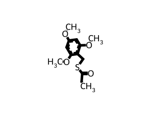 CCC(=O)SCc1c(OC)cc(OC)cc1OC